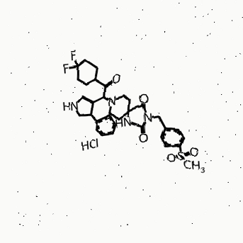 CS(=O)(=O)c1ccc(CN2C(=O)NC3(CCN(C(C(=O)C4CCC(F)(F)CC4)C4CNCC4c4ccccc4)CC3)C2=O)cc1.Cl